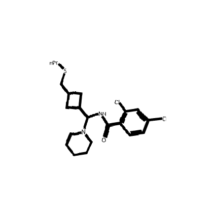 CCCSCC1CC(C(NC(=O)c2ccc(Cl)cc2Cl)N2CCCCC2)C1